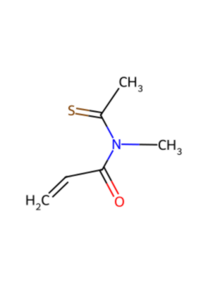 C=CC(=O)N(C)C(C)=S